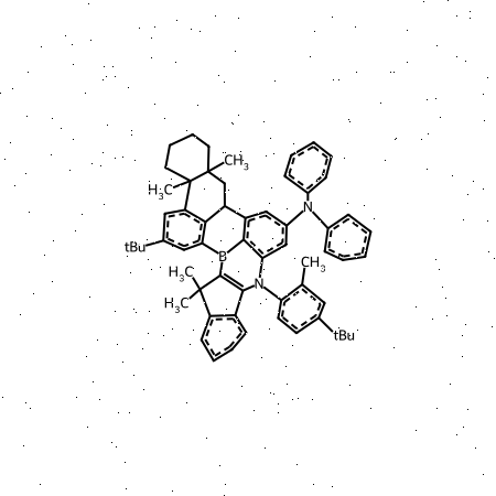 Cc1cc(C(C)(C)C)ccc1N1C2=C(B3c4cc(C(C)(C)C)cc5c4C(CC4(C)CCCCC54C)c4cc(N(c5ccccc5)c5ccccc5)cc1c43)C(C)(C)c1ccccc12